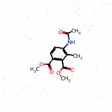 COC(=O)c1ccc(NC(C)=O)c(C)c1C(=O)OC